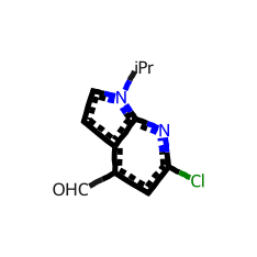 CC(C)n1ccc2c(C=O)cc(Cl)nc21